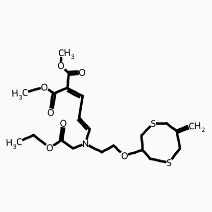 C=C1CSCC(OCCN(/C=C/C=C(C(=O)OC)C(=O)OC)CC(=O)OCC)CSC1